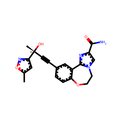 Cc1cc([C@](C)(O)C#Cc2ccc3c(c2)-c2nc(C(N)=O)cn2CCO3)no1